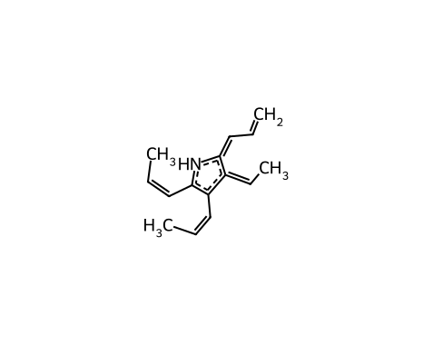 C=C/C=c1/[nH]c(/C=C\C)c(/C=C\C)/c1=C/C